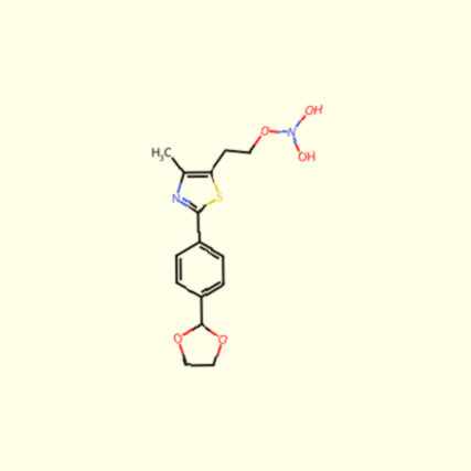 Cc1nc(-c2ccc(C3OCCO3)cc2)sc1CCON(O)O